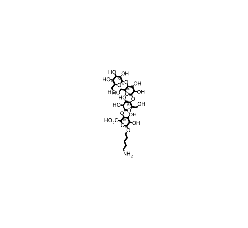 NCCCCCO[C@@H]1OC(C(=O)O)[C@@H](O[C@H]2OC(CO)[C@H](O[C@H]3OC(CO)[C@@H](O[C@@H]4OC(CO)[C@@H](O)C(O)[C@@H]4O)[C@H](O)C3O)[C@H](O)C2O)C(O)C1O